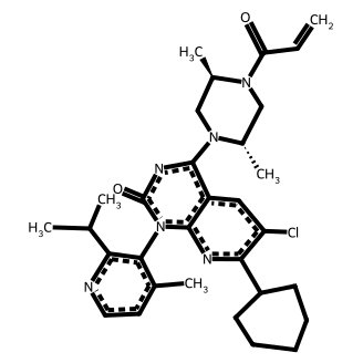 C=CC(=O)N1C[C@H](C)N(c2nc(=O)n(-c3c(C)ccnc3C(C)C)c3nc(C4CCCCC4)c(Cl)cc23)C[C@H]1C